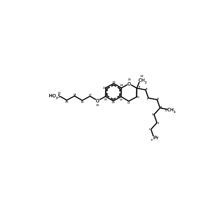 CC(C)CCCC(C)CCCC1(C)CCc2cc(OCCCCS(=O)(=O)O)ccc2O1